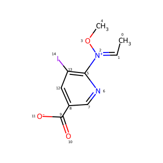 CC=[N+](OC)c1ncc(C(=O)[O-])cc1I